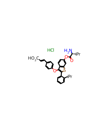 CC(C)c1ccccc1-c1sc2cc(OC(=O)[C@@H](N)C(C)C)ccc2c1Oc1ccc(C=CC(=O)O)cc1.Cl